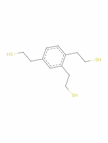 SCCc1ccc(CCS)c(CCS)c1